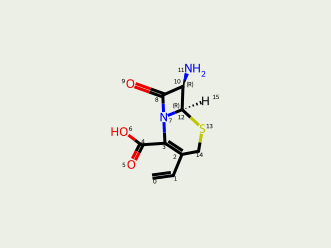 C=CC1=C(C(=O)O)N2C(=O)[C@@H](N)[C@H]2SC1